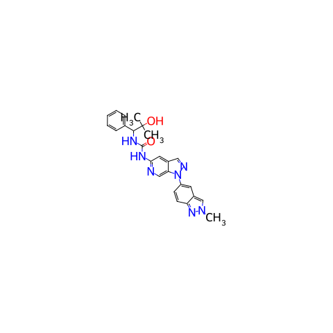 Cn1cc2cc(-n3ncc4cc(NC(=O)NC(c5ccccc5)C(C)(C)O)ncc43)ccc2n1